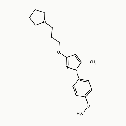 COc1ccc(-n2nc(OCCCN3CCCC3)cc2C)cc1